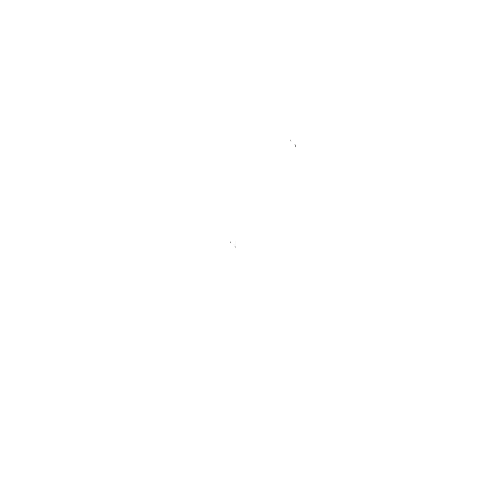 N#CCC(O)Cn1ccc2ccccc21